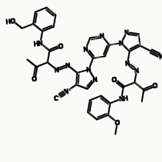 [C-]#[N+]c1cnn(-c2cc(-n3ncc(C#N)c3N=NC(C(C)=O)C(=O)Nc3ccccc3OC)ncn2)c1N=NC(C(C)=O)C(=O)Nc1ccccc1CO